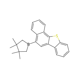 CC1(C)CB(c2cc3c4ccccc4sc3c3ccccc23)CC1(C)C